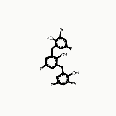 Oc1c(Br)cc(F)cc1Cc1cc(F)cc(Cc2cc(F)cc(Br)c2O)c1O